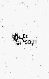 CCC(CS(=O)(=O)O)n1nnnc1S